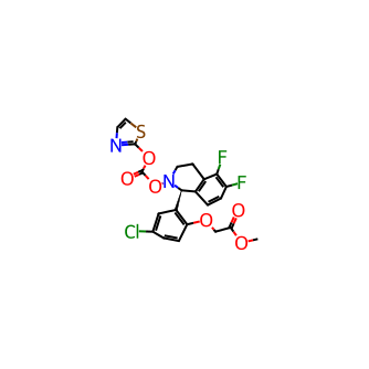 COC(=O)COc1ccc(Cl)cc1[C@@H]1c2ccc(F)c(F)c2CCN1OC(=O)Oc1nccs1